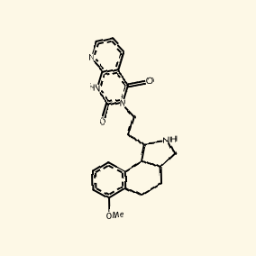 COc1cccc2c1CCC1CNC(CCn3c(=O)[nH]c4ncccc4c3=O)C21